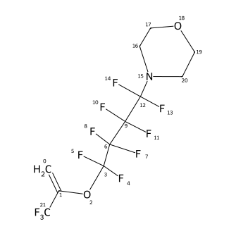 C=C(OC(F)(F)C(F)(F)C(F)(F)C(F)(F)N1CCOCC1)C(F)(F)F